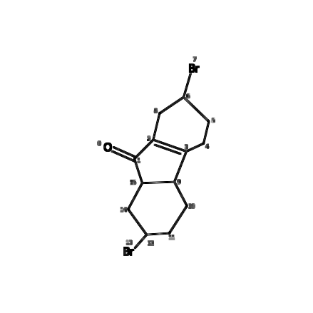 O=C1C2=C(CCC(Br)C2)C2CCC(Br)CC12